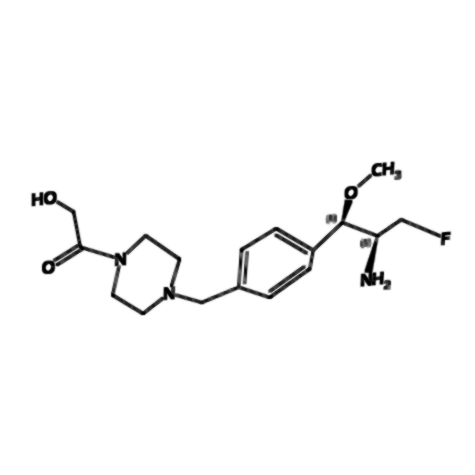 CO[C@H](c1ccc(CN2CCN(C(=O)CO)CC2)cc1)[C@H](N)CF